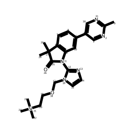 Cc1ncc(-c2ccc3c(c2)N(c2nccn2COCC[Si](C)(C)C)C(=O)C3(C)C)cn1